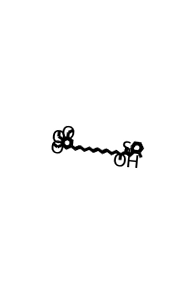 COc1cc(C=CCCC=CC=CCCC(O)c2cc3c(C)cccc3s2)cc(OC)c1OC